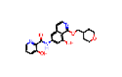 O=C(Nc1cc(O)c2c(OCC3CCOCC3)nccc2c1)c1ncccc1O